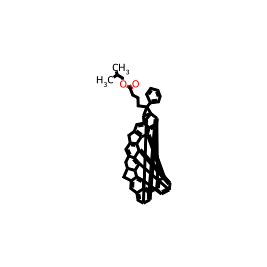 CC(C)COC(=O)CCCC1(c2ccccc2)C2c3cc4c5c6c(cc7c8c9c%10c%11c%12c%13c(cc%14c%12c%12c%15c(c%16c3c5c(c%10c86)c%16c%12%11)C21CC%15C=%14)CC(C7)C%139)C4